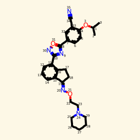 CC(C)Oc1ccc(-c2nc(-c3cccc4c3CCC4=NOCCN3CCCCC3)no2)cc1C#N